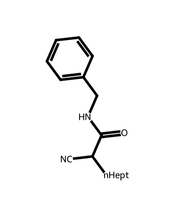 CCCCCCCC(C#N)C(=O)NCc1ccccc1